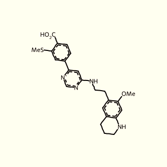 COc1cc2c(cc1CCNc1cc(-c3ccc(C(=O)O)c(SC)c3)ncn1)CCCN2